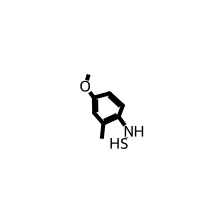 COc1ccc(NS)c(C)c1